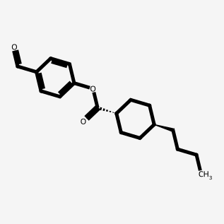 CCCC[C@H]1CC[C@H](C(=O)Oc2ccc(C=O)cc2)CC1